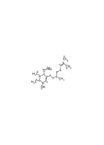 CCCCOC1C(CCC(C)CCC=C(C)C)=CC(O)C(C)C1C